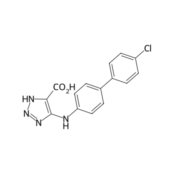 O=C(O)c1[nH]nnc1Nc1ccc(-c2ccc(Cl)cc2)cc1